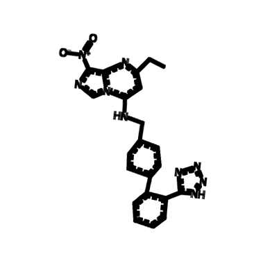 CCc1cc(NCc2ccc(-c3ccccc3-c3nnn[nH]3)cc2)n2cnc([N+](=O)[O-])c2n1